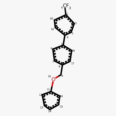 FC(F)(F)c1ccc(-c2ccc(COc3ccccc3)cc2)cc1